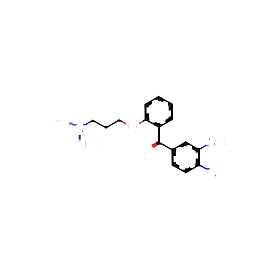 CCCCN(CCCC)CCCOc1ccccc1C(=O)c1ccc(N)c(N)c1